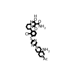 CC(=O)N1CCC2(CCN(c3cnc(Sc4cccc(C5CCCc6nc(O)c(C(N)=O)c(=O)n65)c4Cl)cn3)CC2)C(N)C1